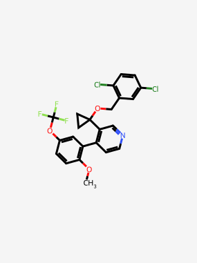 COc1ccc(OC(F)(F)F)cc1-c1ccncc1C1(OCc2cc(Cl)ccc2Cl)CC1